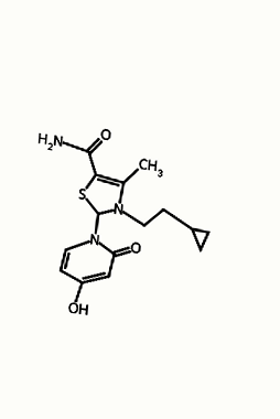 CC1=C(C(N)=O)SC(n2ccc(O)cc2=O)N1CCC1CC1